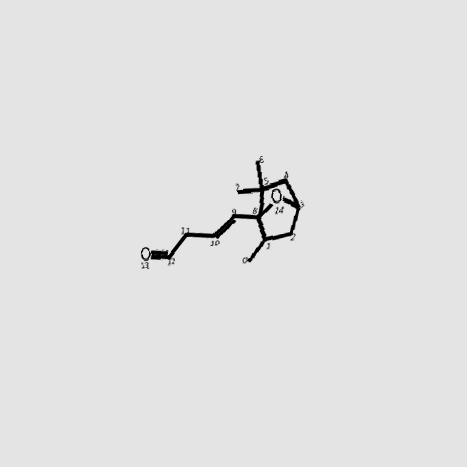 CC1CC2CC(C)(C)C1(C=CCC=O)O2